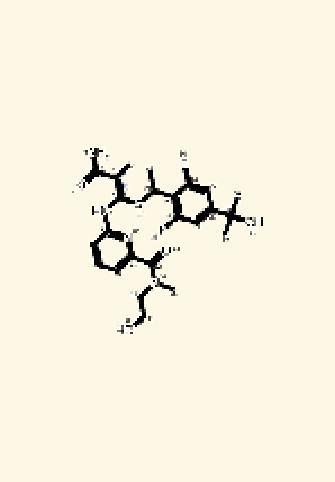 C/C(C(N)=O)=C(/Nc1cccc(C(=O)N(C)CCO)n1)SC(C)c1c(F)cc(C(C)(C)O)cc1F